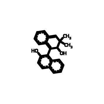 CC1(C)C=c2ccccc2=C(c2c(O)ccc3ccccc23)C1O